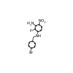 Nc1c([N+](=O)[O-])ccc(NCc2ccc(Br)cc2)c1F